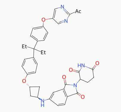 CCC(CC)(c1ccc(Oc2cnc(C(C)=O)nc2)cc1)c1ccc(O[C@H]2C[C@H](Nc3ccc4c(c3)C(=O)N(C3CCC(=O)NC3=O)C4=O)C2)cc1